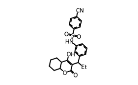 CCC(C1=C(O)C2CCCCC2OC1=O)c1cccc(NS(=O)(=O)c2ccc(C#N)cc2)c1